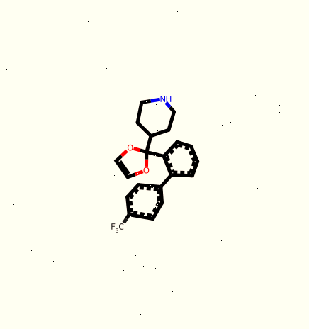 FC(F)(F)c1ccc(-c2ccccc2C2(C3CCNCC3)OC=CO2)cc1